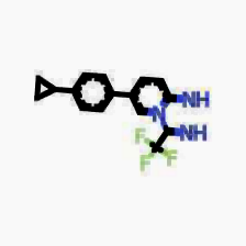 N=C(n1cc(-c2ccc(C3CC3)cc2)ccc1=N)C(F)(F)F